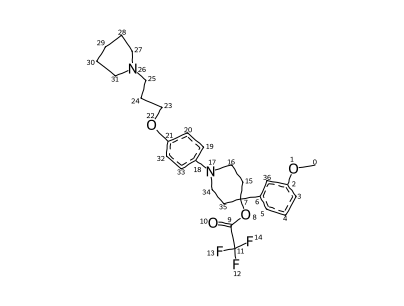 COc1cccc(C2(OC(=O)C(F)(F)F)CCN(c3ccc(OCCCN4CCCCC4)cc3)CC2)c1